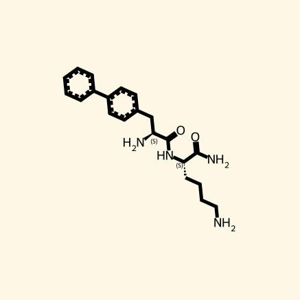 NCCCC[C@H](NC(=O)[C@@H](N)Cc1ccc(-c2ccccc2)cc1)C(N)=O